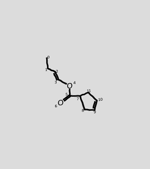 CCC=COC(=O)C1CC=CC1